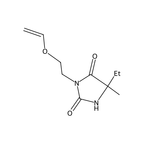 C=COCCN1C(=O)NC(C)(CC)C1=O